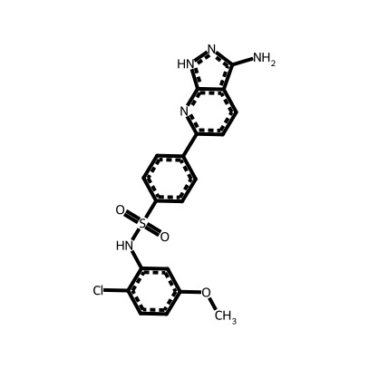 COc1ccc(Cl)c(NS(=O)(=O)c2ccc(-c3ccc4c(N)n[nH]c4n3)cc2)c1